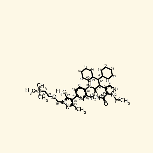 CCn1ncc(C(C(=O)Nc2ccc(-c3c(C)nn(COCC[Si](C)(C)C)c3C)nc2F)C(C2CCCCC2)C2CCCCC2)c1C(N)=O